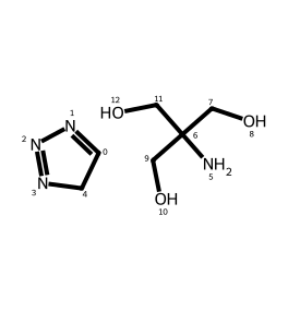 C1=NN=NC1.NC(CO)(CO)CO